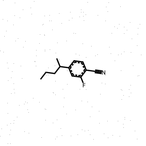 CCCC(C)c1ccc(C#N)c(F)c1